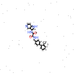 O=C(NCc1ccc(-c2ccccc2C(F)(F)F)cc1)C(=O)Nc1c[nH]c2ccncc12